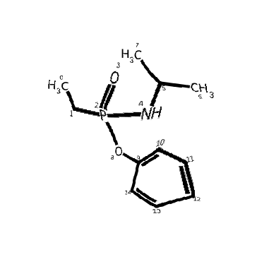 CCP(=O)(NC(C)C)Oc1ccccc1